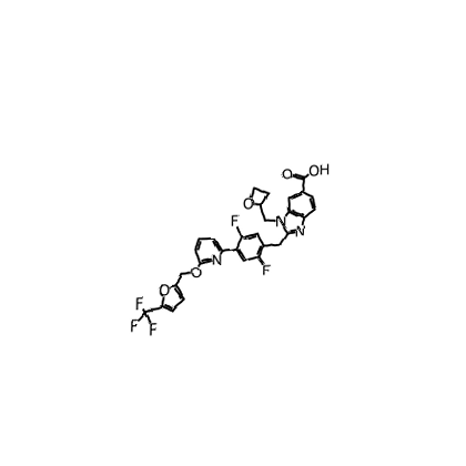 O=C(O)c1ccc2nc(Cc3cc(F)c(-c4cccc(OCc5ccc(C(F)(F)F)o5)n4)cc3F)n(CC3CCO3)c2c1